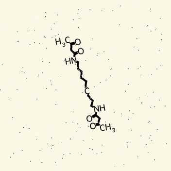 CC(=O)CC(=O)NCCCCCCCCCCNC(=O)CC(C)=O